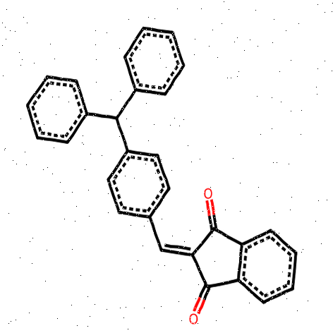 O=C1C(=Cc2ccc(C(c3ccccc3)c3ccccc3)cc2)C(=O)c2ccccc21